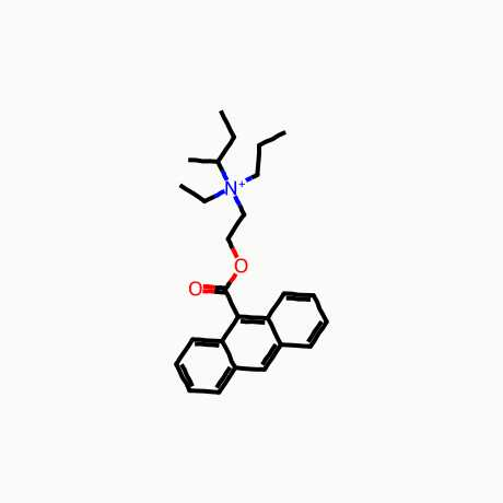 CCC[N+](CC)(CCOC(=O)c1c2ccccc2cc2ccccc12)C(C)CC